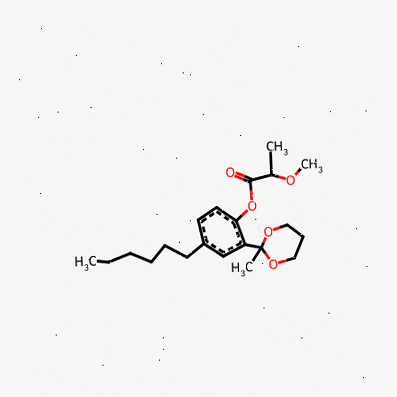 CCCCCCc1ccc(OC(=O)C(C)OC)c(C2(C)OCCCO2)c1